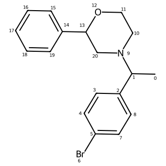 CC(c1ccc(Br)cc1)N1CCOC(c2ccccc2)C1